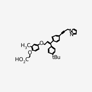 Cc1cc(OCC=C(c2ccc(C#CCn3cccn3)cc2)c2ccc(C(C)(C)C)cc2)ccc1OCC(=O)O